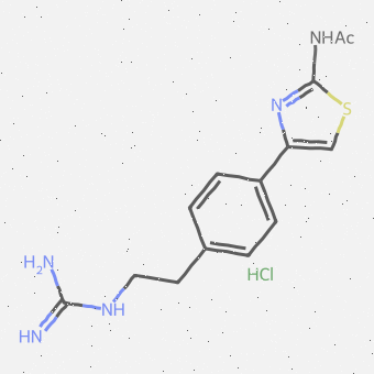 CC(=O)Nc1nc(-c2ccc(CCNC(=N)N)cc2)cs1.Cl